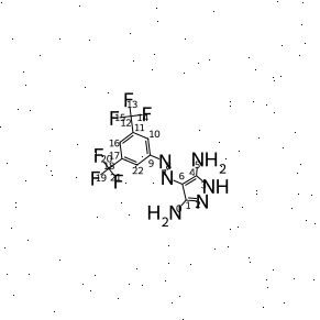 Nc1n[nH]c(N)c1N=Nc1cc(C(F)(F)F)cc(C(F)(F)F)c1